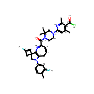 Cc1ccc(N2CC3(C=C(F)C3)C3=C2CC=CC(C(=O)N2CCN(c4cc(C)c(C(=O)Cl)c(C)n4)CC2(C)C)=N3)cc1F